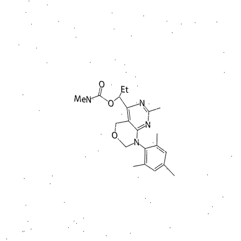 CCC(OC(=O)NC)c1nc(C)nc2c1COCN2c1c(C)cc(C)cc1C